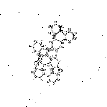 c1ccc2c(c1)oc1ccc3c(c12)c1c2ccccc2oc1c1c2ccccc2n(-c2ccc4c5ccccc5c5ccccc5c4c2)c31